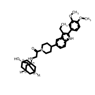 CCc1c(-c2ccc(OC)c(OC)c2)[nH]c2ccc(C3CCN(C(=O)CN[C@@]45C[C@@H]6C[C@@H](C[C@@](O)(C6)C4)C5)CC3)cc12